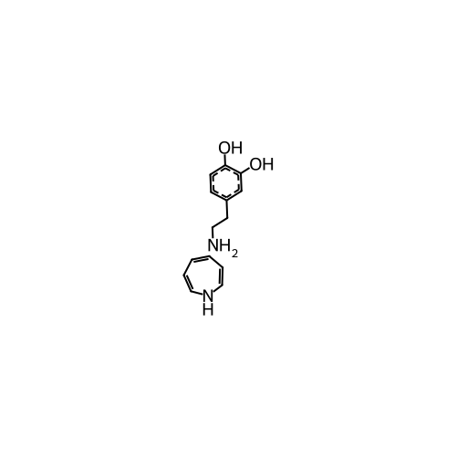 C1=CC=CNC=C1.NCCc1ccc(O)c(O)c1